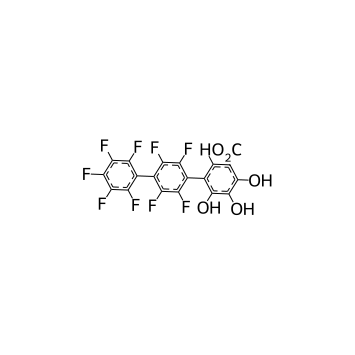 O=C(O)c1cc(O)c(O)c(O)c1-c1c(F)c(F)c(-c2c(F)c(F)c(F)c(F)c2F)c(F)c1F